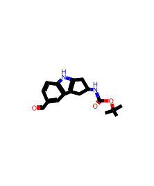 CC(C)(C)OC(=O)NC1Cc2[nH]c3ccc(C=O)cc3c2C1